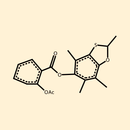 CC(=O)Oc1ccccc1C(=O)Oc1c(C)c(C)c2c(c1C)SC(C)O2